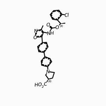 Cc1noc(-c2ccc(-c3ccc(N4CC[C@@H](C(=O)O)C4)cc3)cc2)c1NC(=O)O[C@H](C)c1ccccc1Cl